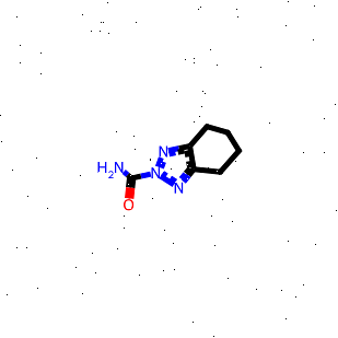 NC(=O)n1nc2c(n1)CCCC2